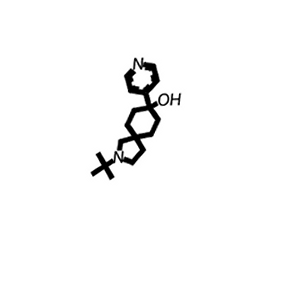 CC(C)(C)N1CCC2(CCC(O)(c3ccncc3)CC2)C1